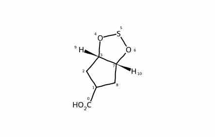 O=C(O)C1C[C@@H]2OSO[C@@H]2C1